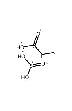 CCC(=O)O.O=S(O)O